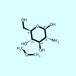 COC.N[C@@H]1[C@@H](O)[C@H](O)[C@@H](CO)O[C@H]1O